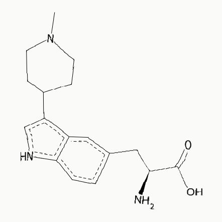 CN1CCC(c2c[nH]c3ccc(C[C@H](N)C(=O)O)cc23)CC1